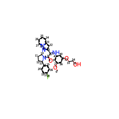 COc1cc(NC(C(=O)N2CCCC2c2ccc(F)cc2)c2cc3ccccn3n2)cc(OCCO)c1